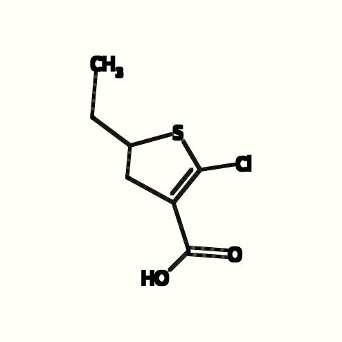 CCC1CC(C(=O)O)=C(Cl)S1